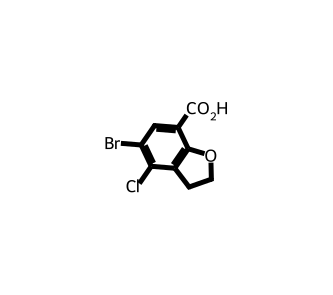 O=C(O)c1cc(Br)c(Cl)c2c1OCC2